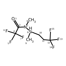 CN(C(=O)C(F)(F)F)[SiH](C)CCC(F)(F)F